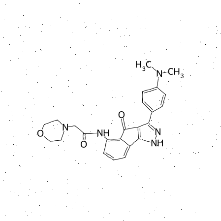 CN(C)c1ccc(-c2n[nH]c3c2C(=O)c2c(NC(=O)CN4CCOCC4)cccc2-3)cc1